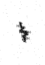 CC(C)CC(=O)Nc1cncc(-c2cnc3[nH]nc(-c4cc5c(-c6cc(F)cc(NCCN(C)C)c6)ccnc5[nH]4)c3c2)c1